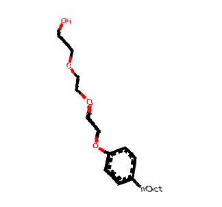 CCCCCCCCc1ccc(OCCOCCOCCO)cc1